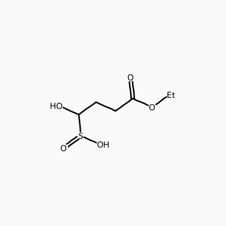 CCOC(=O)CCC(O)S(=O)O